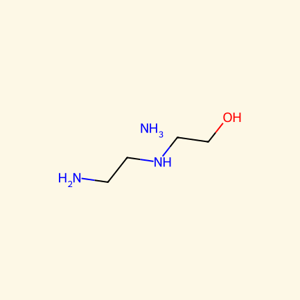 N.NCCNCCO